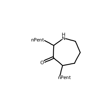 CCCCCC1CCCNC(CCCCC)C1=O